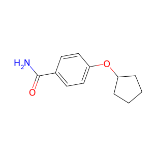 NC(=O)c1ccc(OC2CCCC2)cc1